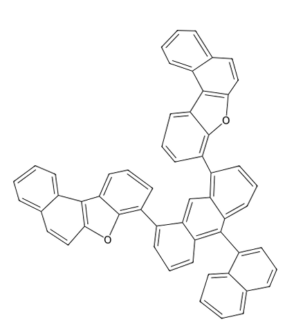 c1ccc2c(-c3c4cccc(-c5cccc6c5oc5ccc7ccccc7c56)c4cc4c(-c5cccc6c5oc5ccc7ccccc7c56)cccc34)cccc2c1